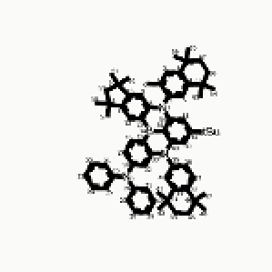 Cc1cc2c(cc1N1c3cc4c(cc3B3c5ccc(N(c6ccccc6)c6ccccc6)cc5N(c5ccc6c(c5)C(C)(C)CCC6(C)C)c5cc(C(C)(C)C)cc1c53)C(C)(C)CC4(C)C)C(C)(C)CCC2(C)C